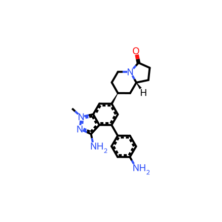 Cn1nc(N)c2c(-c3ccc(N)cc3)cc([C@H]3CCN4C(=O)CC[C@@H]4C3)cc21